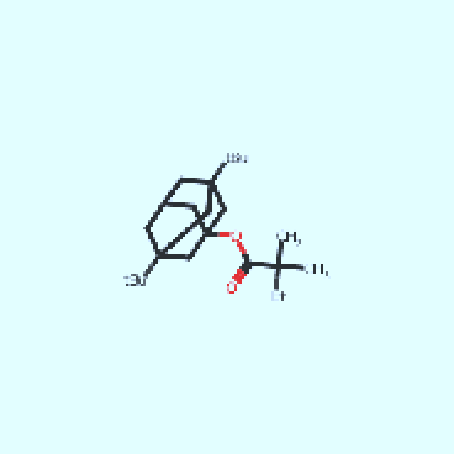 CCC(C)(C)C(=O)OC12CC3CC(C(C)(C)C)(C1)CC(C(C)(C)C)(C3)C2